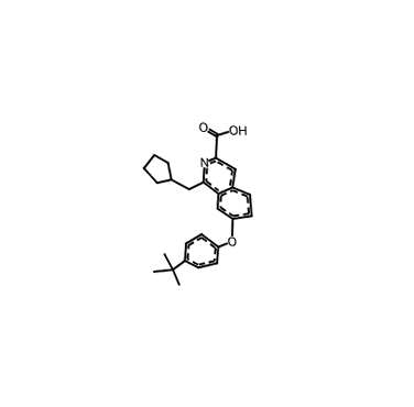 CC(C)(C)c1ccc(Oc2ccc3cc(C(=O)O)nc(CC4CCCC4)c3c2)cc1